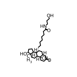 C[C@]12CCC(=O)C[C@@H]1C[C@@H](CCCCCCCC(=O)NCCCO)[C@@H]1[C@@H]2CC[C@]2(C)[C@@H](O)CC[C@@H]12